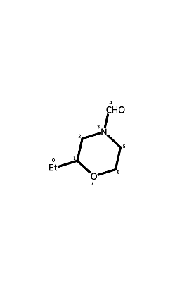 [CH2]CC1CN(C=O)CCO1